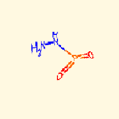 NNP(=O)=O